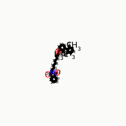 Cc1cccc(C)c1-c1cccc(OCCCCCCCCN2C(=O)c3ccccc3C2=O)c1C